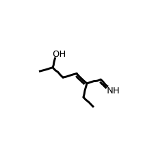 CC/C(C=N)=C\CC(C)O